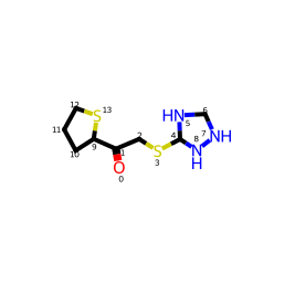 O=C(CSC1NCNN1)C1CCCS1